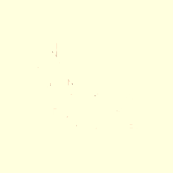 CCC(=O)c1ccc(F)c(N2CCNCC2)c1